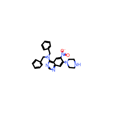 O=[N+]([O-])c1cc2c(N(Cc3ccccc3)Cc3ccccc3)ncnc2cc1N1CCNCC1